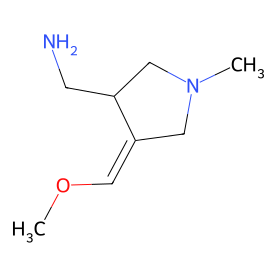 CO/C=C1/CN(C)CC1CN